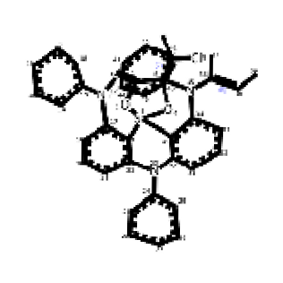 C=C1O[Si]2(O/C1=C(/C)Cl)c1c(N(C)c3ccccc3)cccc1N(c1ccccc1)c1cccc(N(/C(C)=C/C)c3ccccc3)c12